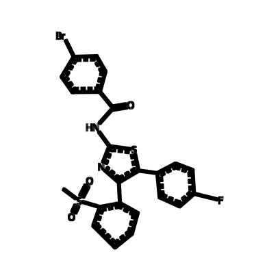 CS(=O)(=O)c1ccccc1-c1nc(NC(=O)c2ccc(Br)cc2)sc1-c1ccc(F)cc1